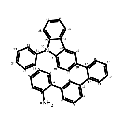 Nc1ccccc1-c1cccc(-c2ccccc2-c2ccc3c(c2)c2ccccc2n3-c2ccccc2)c1